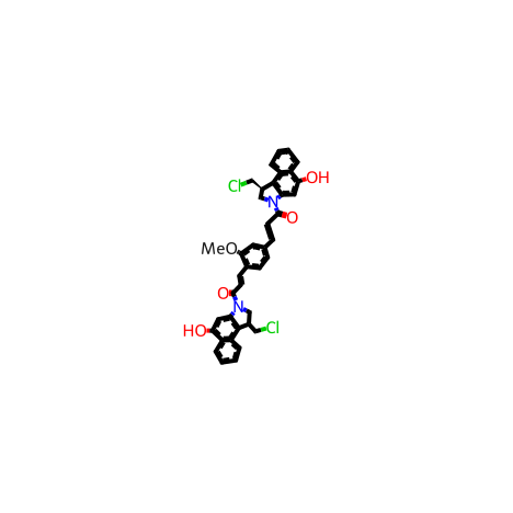 COc1cc(/C=C/C(=O)N2C[C@@H](CCl)c3c2cc(O)c2ccccc32)ccc1/C=C/C(=O)N1CC(CCl)c2c1cc(O)c1ccccc21